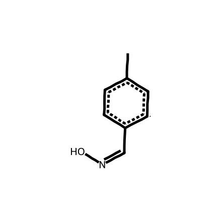 Cc1c[c]c(/C=N\O)cc1